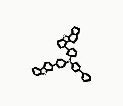 c1ccc(-c2ccc(N(c3ccc(-c4ccc5c(c4)sc4ccccc45)cc3)c3cccc(-c4cccc5oc6c7ccccc7ccc6c45)c3)cc2)cc1